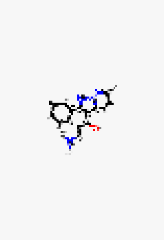 Cc1ccc2c(C(=O)C=CN(C)C)c(-c3ccccc3)nn2n1